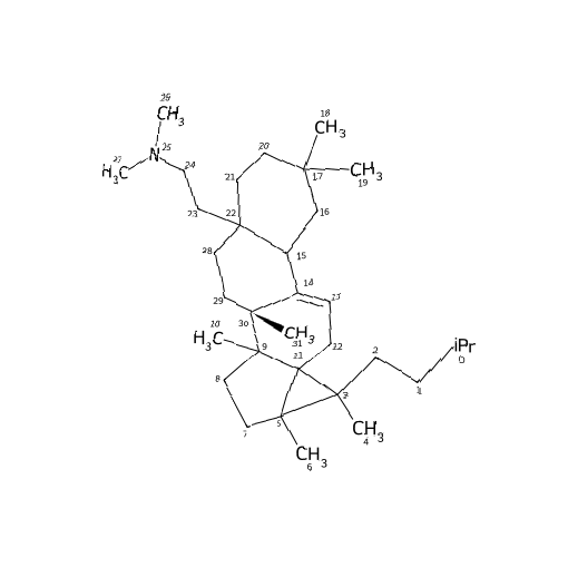 CC(C)CCC1(C)C2(C)CCC3(C)C12CC=C1C2CC(C)(C)CCC2(CCN(C)C)CC[C@]13C